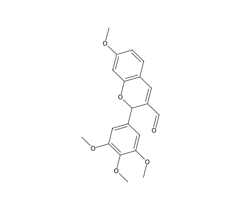 COc1ccc2c(c1)OC(c1cc(OC)c(OC)c(OC)c1)C(C=O)=C2